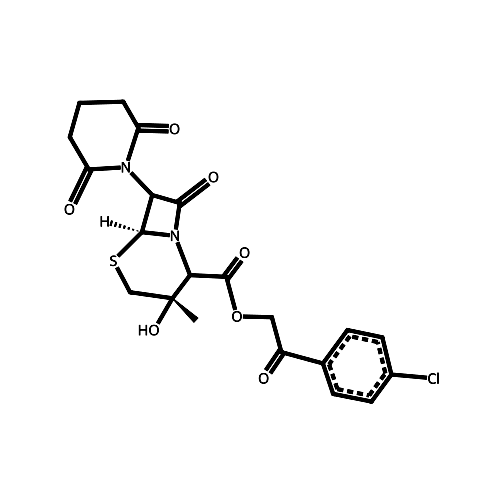 C[C@@]1(O)CS[C@H]2C(N3C(=O)CCCC3=O)C(=O)N2C1C(=O)OCC(=O)c1ccc(Cl)cc1